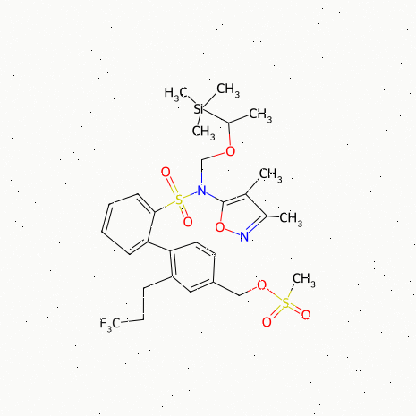 Cc1noc(N(COC(C)[Si](C)(C)C)S(=O)(=O)c2ccccc2-c2ccc(COS(C)(=O)=O)cc2CCC(F)(F)F)c1C